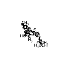 COc1ccc(S(=O)(=O)N(CCC(=O)N2CCN(CCOC(=O)C(C)(C)C)CC2)C(C(=O)NO)C(C)C)cc1